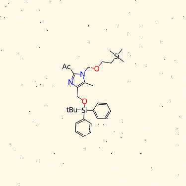 CC(=O)c1nc(CO[Si](c2ccccc2)(c2ccccc2)C(C)(C)C)c(C)n1COCC[Si](C)(C)C